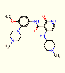 COc1ccc(NC(=O)c2c(NC3CCN(C)CC3)cc[nH]c2=O)cc1N1CCN(C)CC1